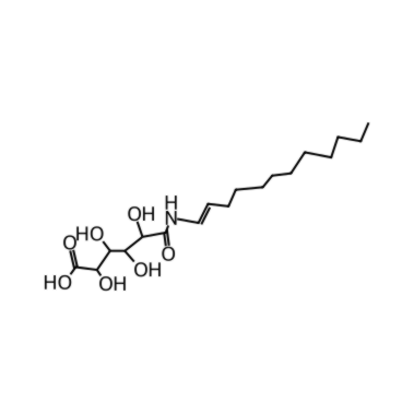 CCCCCCCCCCC=CNC(=O)C(O)C(O)C(O)C(O)C(=O)O